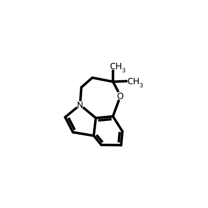 CC1(C)CCn2ccc3cccc(c32)O1